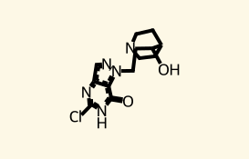 O=c1[nH]c(Cl)nc2cnn(CC3C(O)C4CCN3CC4)c12